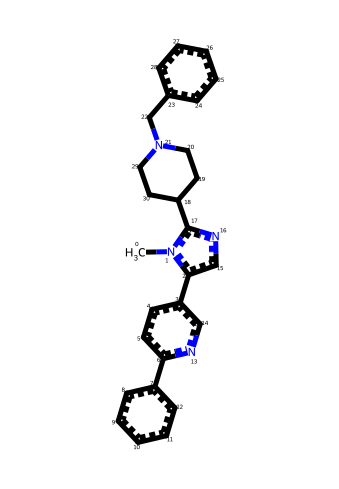 Cn1c(-c2ccc(-c3ccccc3)nc2)cnc1C1CCN(Cc2ccccc2)CC1